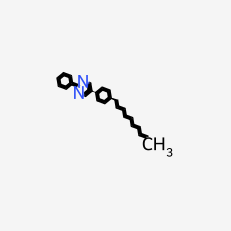 CCCCCCCCCC[C@H]1CC[C@H](c2cnc(C3CCCCC3)nc2)CC1